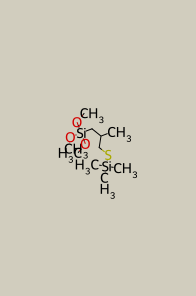 CO[Si](CC(C)CS[Si](C)(C)C)(OC)OC